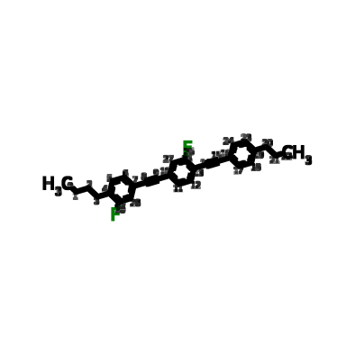 CCCCc1ccc(C#Cc2ccc(C#Cc3ccc(CCC)cc3)c(F)c2)cc1F